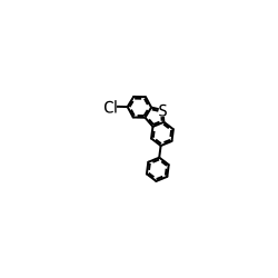 Clc1ccc2sc3ccc(-c4ccccc4)cc3c2c1